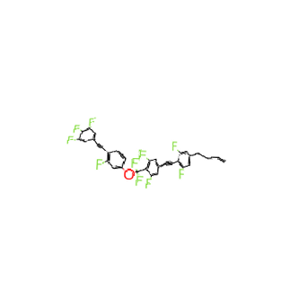 C=CCCc1cc(F)c(C#Cc2cc(F)c(C(F)(F)Oc3ccc(C#Cc4cc(F)c(F)c(F)c4)c(F)c3)c(F)c2)c(F)c1